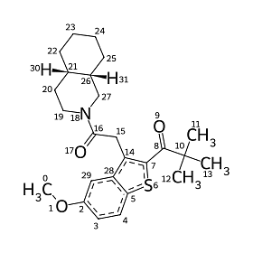 COc1ccc2sc(C(=O)C(C)(C)C)c(CC(=O)N3CC[C@@H]4CCCC[C@@H]4C3)c2c1